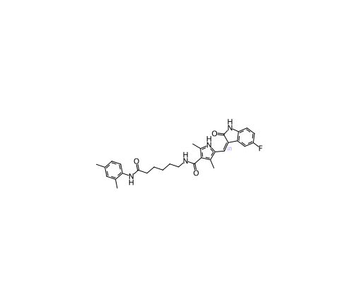 Cc1ccc(NC(=O)CCCCCNC(=O)c2c(C)[nH]c(/C=C3\C(=O)Nc4ccc(F)cc43)c2C)c(C)c1